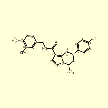 CCc1ccc([C@H]2C[C@@H](C(F)(F)F)n3ncc(C(=O)NCc4ccc(C)c(Cl)c4)c3N2)cc1